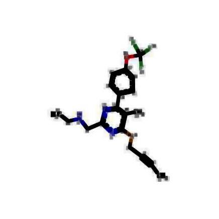 CC#CCSc1nc(CNCC)nc(-c2ccc(OC(F)(F)F)cc2)c1C